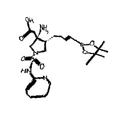 CC1(C)OB(CCC[C@@H]2CN(S(=O)(=O)Nc3ccccn3)C[C@]2(N)C(=O)O)OC1(C)C